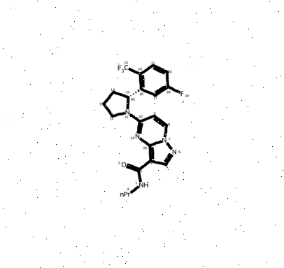 CCCNC(=O)c1cnn2ccc(N3CCC[C@@H]3c3cc(F)ccc3C(F)(F)F)nc12